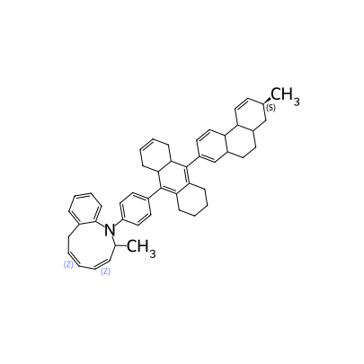 CC1/C=C\C=C/Cc2ccccc2N1c1ccc(C2=C3CCCCC3=C(C3=CC4CCC5C[C@H](C)C=CC5C4C=C3)C3CC=CCC23)cc1